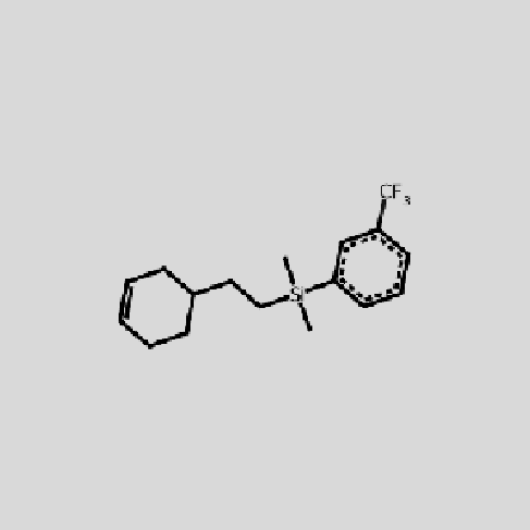 C[Si](C)(CCC1CC=CCC1)c1cccc(C(F)(F)F)c1